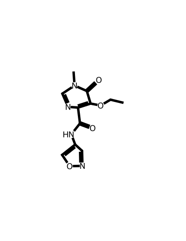 CCOc1c(C(=O)Nc2cnoc2)ncn(C)c1=O